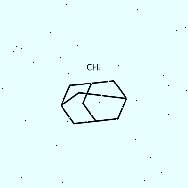 C1C2CC3CC1CC(C2)C3.[CH]